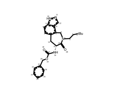 CC(C)(C)CCN1Cc2c(ccc3[nH]ncc23)C[C@@H](NC(=O)OCc2ccccc2)C1=O